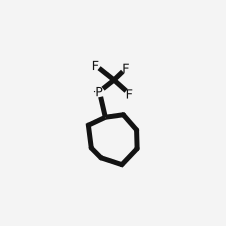 FC(F)(F)[P]C1CCCCCCC1